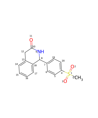 CS(=O)(=O)c1ccc(C2NC(=O)Cc3ccccc32)cc1